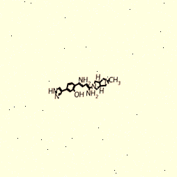 CN1C[C@@H]2CN(/C(N)=C/C=C(\N)c3ccc(-c4cn[nH]c4)cc3O)C[C@@H]2C1